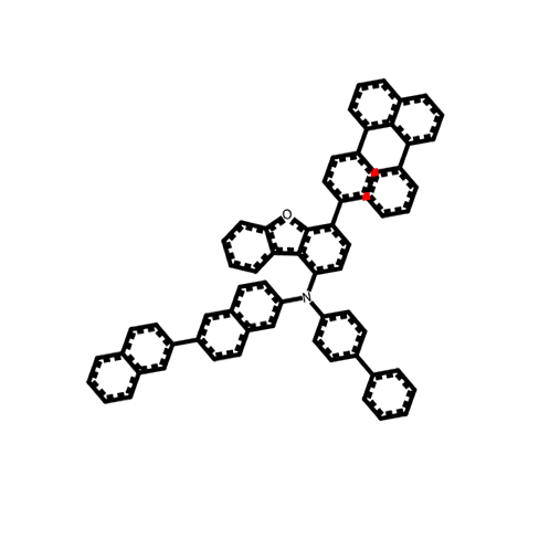 c1ccc(-c2ccc(N(c3ccc4cc(-c5ccc6ccccc6c5)ccc4c3)c3ccc(-c4ccc(-c5cccc6cccc(-c7ccccc7)c56)cc4)c4oc5ccccc5c34)cc2)cc1